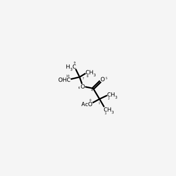 CC(=O)OC(C)(C)C(=O)OC(C)(C)C=O